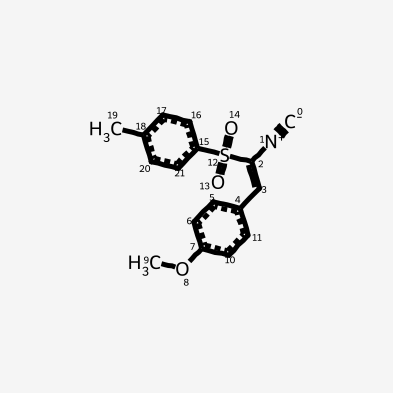 [C-]#[N+]/C(=C/c1ccc(OC)cc1)S(=O)(=O)c1ccc(C)cc1